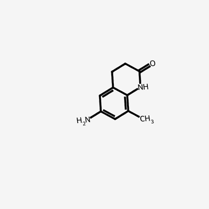 Cc1cc(N)cc2c1NC(=O)CC2